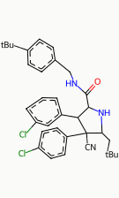 CC(C)(C)CC1NC(C(=O)NCc2ccc(C(C)(C)C)cc2)C(c2cccc(Cl)c2)C1(C#N)c1ccc(Cl)cc1